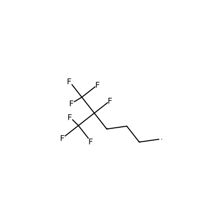 [CH2]CCCC(F)(C(F)(F)F)C(F)(F)F